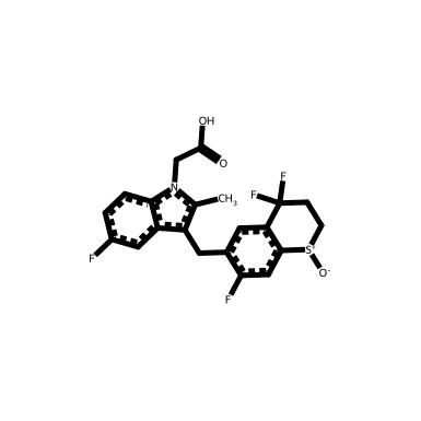 Cc1c(Cc2cc3c(cc2F)[S+]([O-])CCC3(F)F)c2cc(F)ccc2n1CC(=O)O